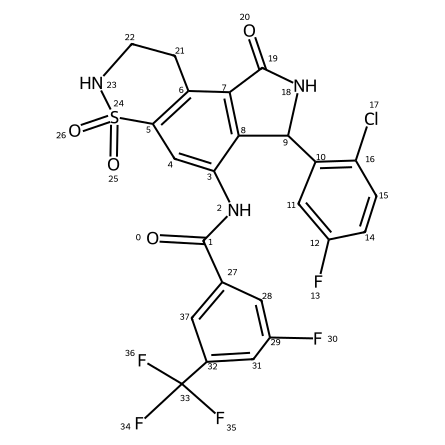 O=C(Nc1cc2c(c3c1C(c1cc(F)ccc1Cl)NC3=O)CCNS2(=O)=O)c1cc(F)cc(C(F)(F)F)c1